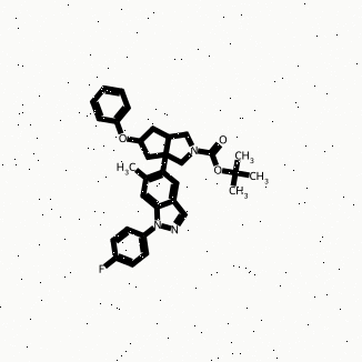 Cc1cc2c(cnn2-c2ccc(F)cc2)cc1C12CC(Oc3ccccc3)CC1CN(C(=O)OC(C)(C)C)C2